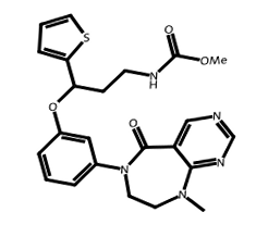 COC(=O)NCCC(Oc1cccc(N2CCN(C)c3ncncc3C2=O)c1)c1cccs1